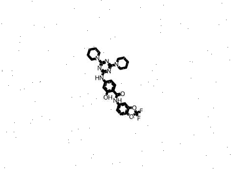 O=C(Nc1ccc2c(c1)OC(F)(F)O2)c1ccc(Nc2nc(N3CCCCC3)nc(N3CCCCC3)n2)cc1O